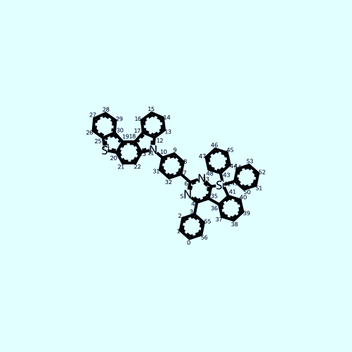 c1ccc(-c2nc(-c3ccc(-n4c5ccccc5c5c6c(ccc54)sc4ccccc46)cc3)nc3c2-c2ccccc2[Si]3(c2ccccc2)c2ccccc2)cc1